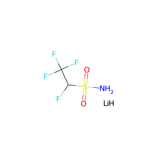 NS(=O)(=O)C(F)C(F)(F)F.[LiH]